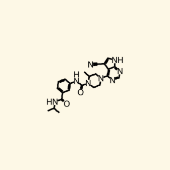 CC(C)NC(=O)c1cccc(NC(=O)N2CCN(c3ncnc4[nH]cc(C#N)c34)CC2C)c1